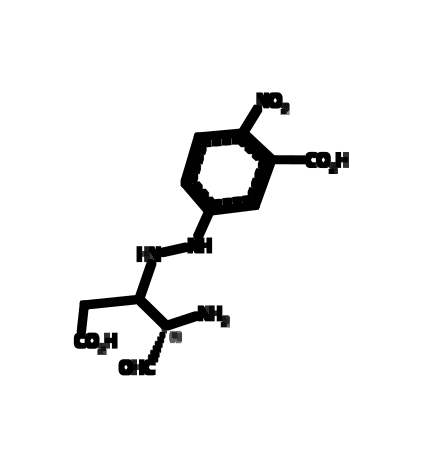 N[C@H](C=O)C(CC(=O)O)NNc1ccc([N+](=O)[O-])c(C(=O)O)c1